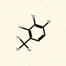 [2H]c1ccc(C([2H])([2H])[2H])c([2H])c1[2H]